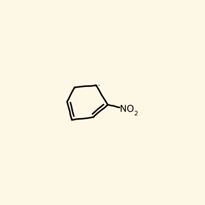 O=[N+]([O-])C1=CC=CC[CH]1